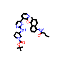 CCCC(=O)Nc1cccc2c(Oc3ncccc3-c3ccnc(NC4CCCN(C(=O)OC(C)(C)C)C4)n3)c(C)ccc12